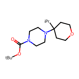 CC(C)C1(N2CCN(C(=O)OC(C)(C)C)CC2)CCOCC1